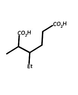 CCC(CCC(=O)O)C(C)C(=O)O